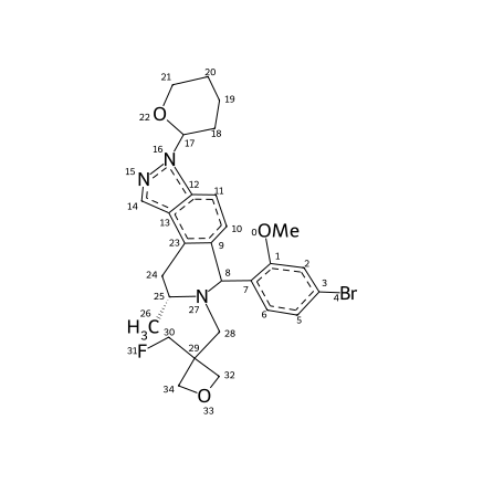 COc1cc(Br)ccc1C1c2ccc3c(cnn3C3CCCCO3)c2C[C@@H](C)N1CC1(CF)COC1